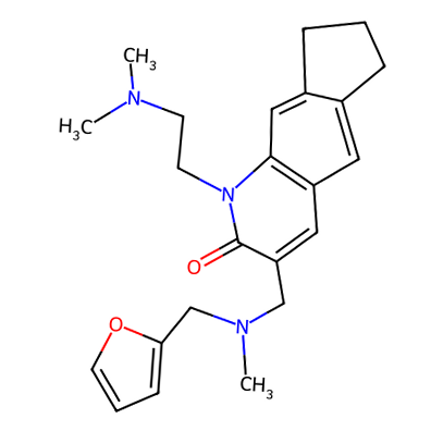 CN(C)CCn1c(=O)c(CN(C)Cc2ccco2)cc2cc3c(cc21)CCC3